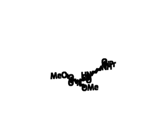 COCCOC(=O)CCN(CCOC)CCOC(=O)NCCCCCCNC(=O)C(C)C